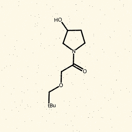 CC(C)(C)COCC(=O)N1CCC(O)C1